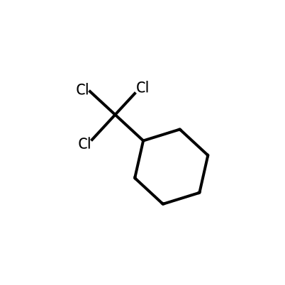 ClC(Cl)(Cl)C1CCCCC1